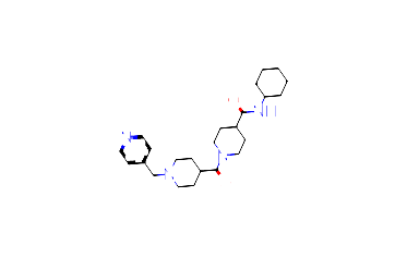 O=C(NC1CCCCC1)C1CCN(C(=O)C2CCN(Cc3ccncc3)CC2)CC1